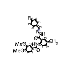 COc1ccc(C(=O)Nc2ccc(C)cc2C(=O)N/N=C/c2ccc(F)cc2)cc1OC